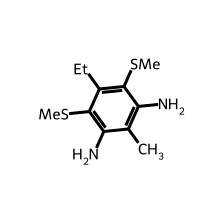 CCc1c(SC)c(N)c(C)c(N)c1SC